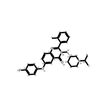 Cc1ccccc1-c1nc2ccc(Oc3ccc(F)cc3)cc2c(=O)n1C[C@H]1CCCN(C(C)C)C1